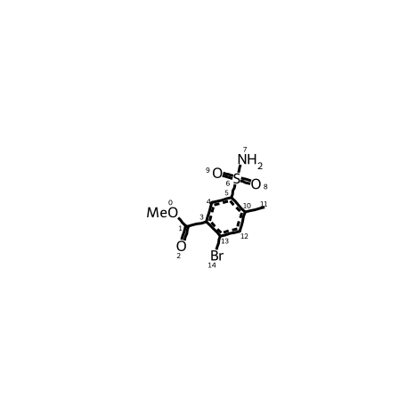 COC(=O)c1cc(S(N)(=O)=O)c(C)cc1Br